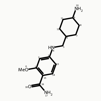 COc1cc(NCC2CCC(N)CC2)ccc1C(N)=O